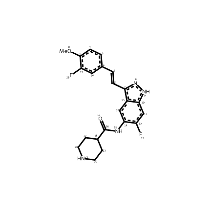 COc1ccc(/C=C/c2n[nH]c3cc(F)c(NC(=O)C4CCNCC4)cc23)cc1F